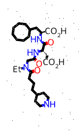 CCN(CC(=O)N[C@@H](CC(=O)O)C(=O)N[C@@H](CC1CCCCCCC1)C(=O)O)C(=O)CCCC1CCNCC1